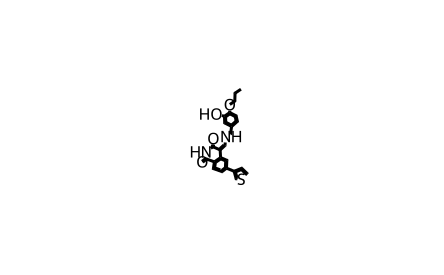 CCCOc1ccc(CNC=C2C(=O)NC(=O)c3ccc(-c4ccsc4)cc32)cc1O